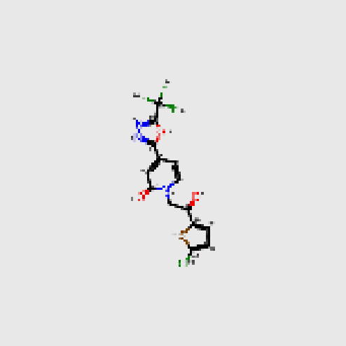 O=C(Cn1ccc(-c2nnc(C(F)(F)F)o2)cc1=O)c1ccc(Cl)s1